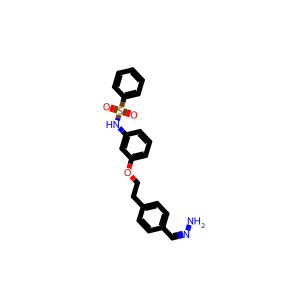 N/N=C\c1ccc(CCOc2cccc(NS(=O)(=O)c3ccccc3)c2)cc1